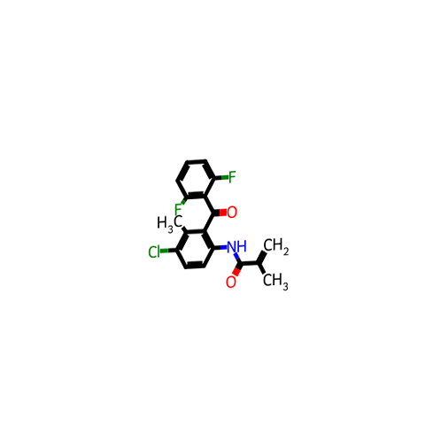 C=C(C)C(=O)Nc1ccc(Cl)c(C)c1C(=O)c1c(F)cccc1F